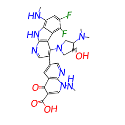 CNc1cc(F)c(F)c2c1[nH]c1ncc(-c3cnc4c(c3)c(=O)c(C(=O)O)cn4NC)c(N3CC(N(C)C)[C@H](O)C3)c12